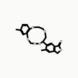 Cc1ccc2c(c1)OCCOC(c1cc3c(cc1C)COC3=O)COCCO2